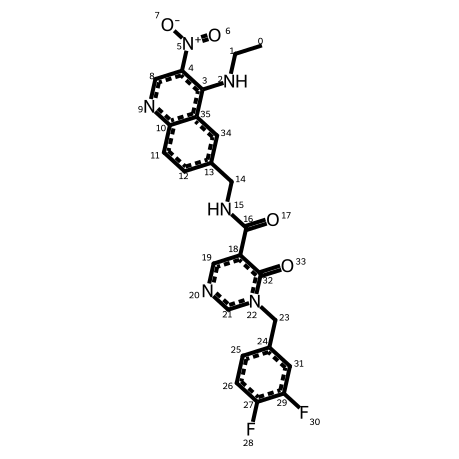 CCNc1c([N+](=O)[O-])cnc2ccc(CNC(=O)c3cncn(Cc4ccc(F)c(F)c4)c3=O)cc12